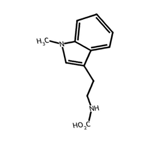 Cn1cc(CCNC(=O)O)c2ccccc21